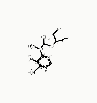 CC(OC(CO)CF)N(N)c1ncnc(N)c1N